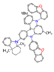 Cc1cc2c3c(c1)N(c1cccc4oc5ccccc5c14)c1cc(C(C)(C)C)ccc1B3c1ccc(N3c4ccccc4C4(C)CCCCC34C)cc1N2c1ccc2c(c1)oc1ccccc12